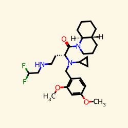 COc1ccc(CN(C2CC2)[C@H](CCNCC(F)F)C(=O)N2CCC[C@H]3CCCC[C@@H]32)c(OC)c1